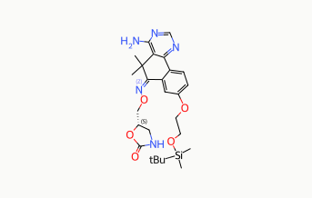 CC1(C)/C(=N/OC[C@@H]2CNC(=O)O2)c2cc(OCCO[Si](C)(C)C(C)(C)C)ccc2-c2ncnc(N)c21